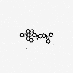 c1ccc(N(c2ccccc2)c2ccc3cc4c(cc3c2)sc2cc3c(cc24)Oc2cccc4c2B3c2c(ccc3ccccc23)N4c2ccccc2)cc1